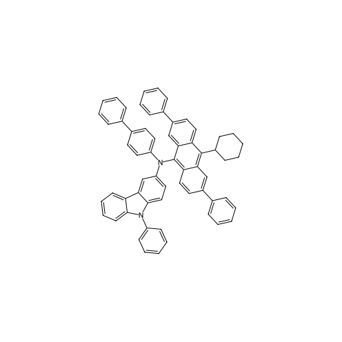 c1ccc(-c2ccc(N(c3ccc4c(c3)c3ccccc3n4-c3ccccc3)c3c4ccc(-c5ccccc5)cc4c(C4CCCCC4)c4ccc(-c5ccccc5)cc34)cc2)cc1